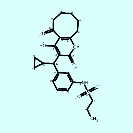 CCCS(=O)(=O)Nc1cccc(C(c2c(O)c3c(oc2=O)CCCCCC3=O)C2CC2)c1